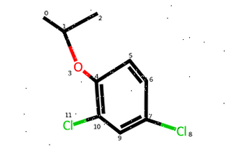 CC(C)Oc1c[c]c(Cl)cc1Cl